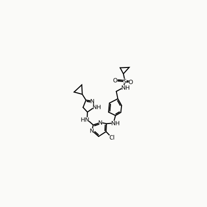 O=S(=O)(NCc1ccc(Nc2nc(NC3CC(C4CC4)=NN3)ncc2Cl)cc1)C1CC1